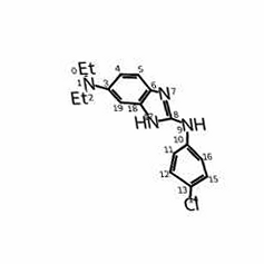 CCN(CC)c1ccc2nc(Nc3ccc(Cl)cc3)[nH]c2c1